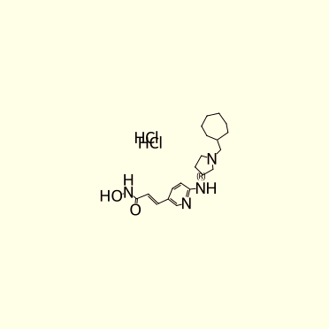 Cl.Cl.O=C(C=Cc1ccc(N[C@@H]2CCN(CC3CCCCCC3)C2)nc1)NO